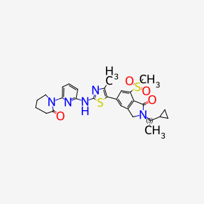 Cc1nc(Nc2cccc(N3CCCCC3=O)n2)sc1-c1cc2c(c(S(C)(=O)=O)c1)C(=O)N([C@@H](C)C1CC1)C2